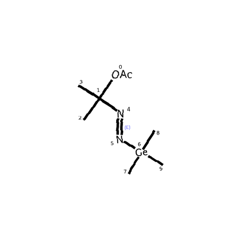 CC(=O)OC(C)(C)/N=[N]/[Ge]([CH3])([CH3])[CH3]